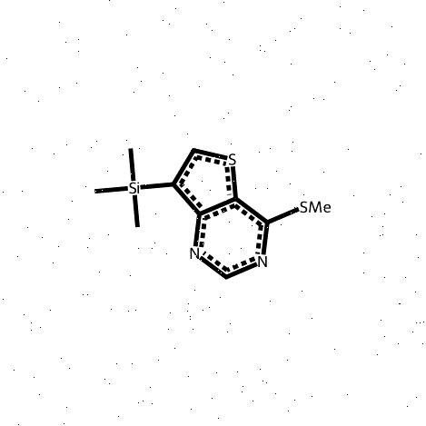 CSc1ncnc2c([Si](C)(C)C)csc12